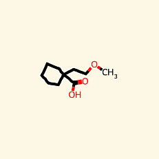 COCCC1(C(=O)O)CCCCC1